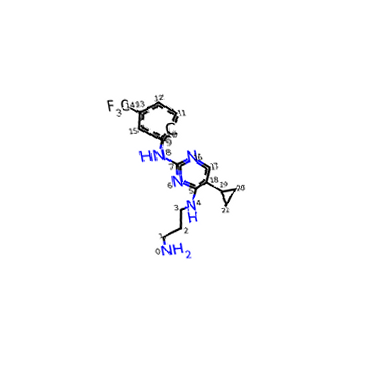 NCCCNc1nc(Nc2cccc(C(F)(F)F)c2)ncc1C1CC1